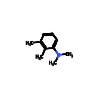 Cc1[c]ccc(N(C)C)c1C